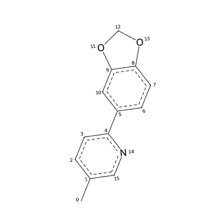 Cc1ccc(-c2ccc3c(c2)OCO3)nc1